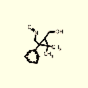 CC1(C)C(CO)C1(CN=O)c1ccccc1